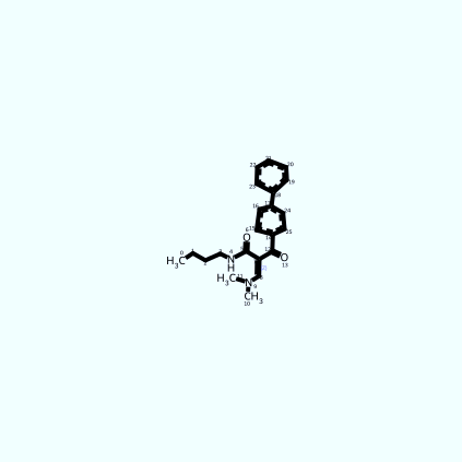 CCCCNC(=O)/C(=C\N(C)C)C(=O)c1ccc(-c2ccccc2)cc1